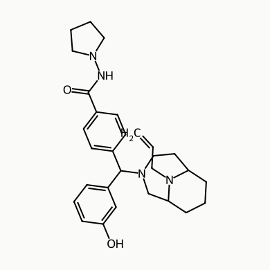 C=CCN1C2CCCC1CN(C(c1ccc(C(=O)NN3CCCC3)cc1)c1cccc(O)c1)CC2